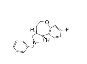 Fc1ccc2c(c1)OCC[C@@H]1CN(Cc3ccccc3)C[C@@H]21